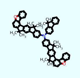 CC1(C)c2ccccc2-c2ccc(N(c3ccc4c(c3)C(C)(C)c3cc5c(cc3-4)C(C)(C)c3ccc4oc6ccccc6c4c3-5)c3ccc4c(c3)C(C)(C)c3cc5c(cc3-4)C(C)(C)c3ccc4oc6ccccc6c4c3-5)cc21